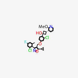 COc1ncccc1[C@H]1C[C@](O)(c2ccc(OCc3c(-c4c(C)cc(F)cc4Cl)noc3C3CC3)cc2Cl)C1